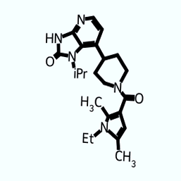 CCn1c(C)cc(C(=O)N2CCC(c3ccnc4[nH]c(=O)n(C(C)C)c34)CC2)c1C